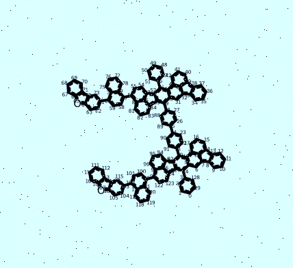 c1ccc(-c2c3cc4c5ccccc5c5cccc(c3c(-c3ccc(-c6ccc(-c7c8cc9c%10ccccc%10c%10cccc(c8c(-c8ccccc8)c8c%11ccc(-c%12ccc(-c%13ccc%14oc%15ccccc%15c%14c%13)c%13ccccc%12%13)c%12cccc(c78)c%12%11)c%109)cc6)cc3)c3c6cccc7c(-c8ccc(-c9ccc%10oc%11ccccc%11c%10c9)c9ccccc89)ccc(c23)c76)c54)cc1